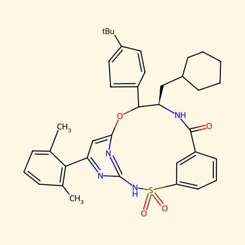 Cc1cccc(C)c1-c1cc2nc(n1)NS(=O)(=O)c1cccc(c1)C(=O)N[C@H](CC1CCCCC1)C(c1ccc(C(C)(C)C)cc1)O2